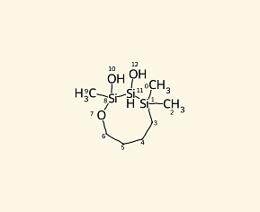 C[Si]1(C)CCCCO[Si](C)(O)[SiH]1O